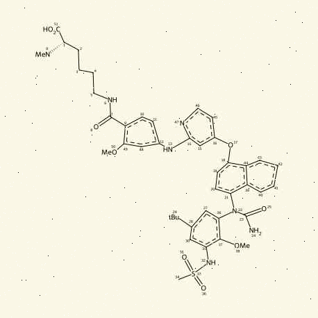 CN[C@@H](CCCCNC(=O)c1ccc(Nc2cc(Oc3ccc(N(C(N)=O)c4cc(C(C)(C)C)cc(NS(C)(=O)=O)c4OC)c4ccccc34)ccn2)cc1OC)C(=O)O